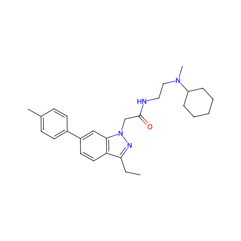 CCc1nn(CC(=O)NCCN(C)C2CCCCC2)c2cc(-c3ccc(C)cc3)ccc12